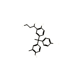 Cc1cc(C(C)(c2ccc(O)cc2)c2ccc(O)c(C(Br)CCBr)c2)ccc1O